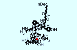 CCCCCCCCCCCCCCCC(=O)NCC(=O)NCC(=O)N[C@@H](Cc1ccc(O)cc1)C(=O)N[C@@H](Cc1ccccc1)C(=O)N[C@@H](CCCNC(=N)N)C(=O)N[C@@H](CCCNC(=N)N)C(=O)N[C@@H](CC(C)C)C(=O)N[C@@H](Cc1c[nH]cn1)C(=O)N[C@@H](CO)C(=O)NC